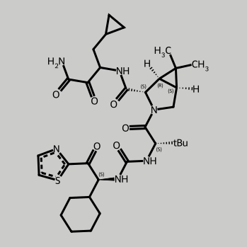 CC(C)(C)[C@H](NC(=O)N[C@H](C(=O)c1nccs1)C1CCCCC1)C(=O)N1C[C@H]2[C@@H]([C@H]1C(=O)NC(CC1CC1)C(=O)C(N)=O)C2(C)C